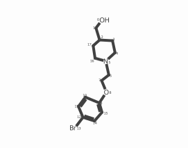 OCC1CCN(CCOc2ccc(Br)cc2)CC1